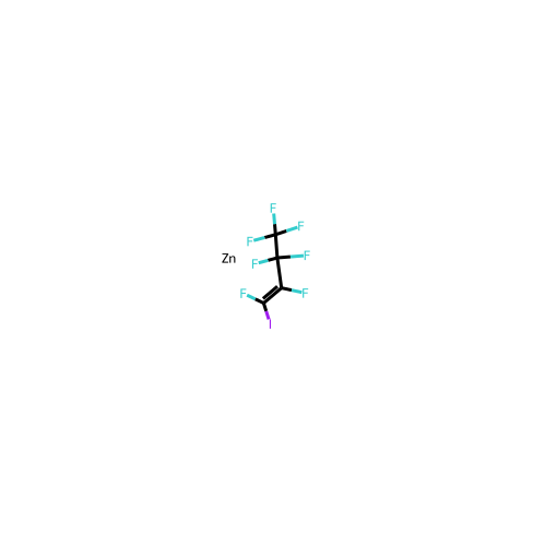 F/C(I)=C(/F)C(F)(F)C(F)(F)F.[Zn]